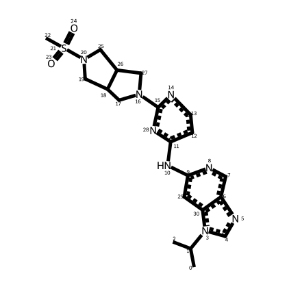 CC(C)n1cnc2cnc(Nc3ccnc(N4CC5CN(S(C)(=O)=O)CC5C4)n3)cc21